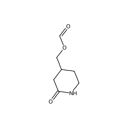 O=COCC1CCNC(=O)C1